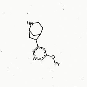 CC(C)Oc1cncc(C2CC3CC2CCN3)c1